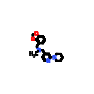 CN(Cc1ccnc(N2CCCCC2)c1)Cc1cccc2c1OCO2